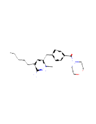 CCCCCc1cc(Cc2ccc(C(=O)N3CCOCC3)cc2)c(C)nc1N